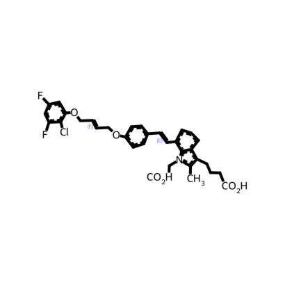 Cc1c(CCCC(=O)O)c2cccc(/C=C/c3ccc(OC/C=C/COc4cc(F)cc(F)c4Cl)cc3)c2n1CC(=O)O